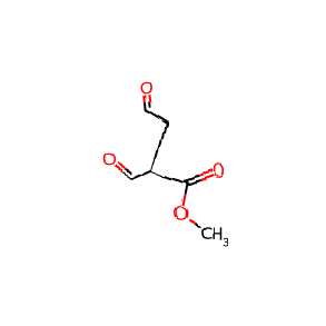 COC(=O)C(C=O)CC=O